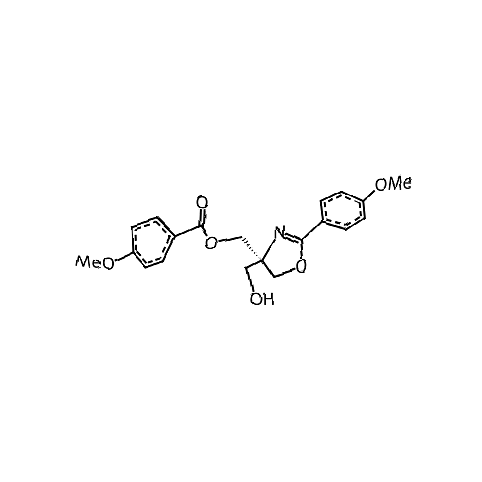 COc1ccc(C(=O)OC[C@@]2(CO)COC(c3ccc(OC)cc3)=N2)cc1